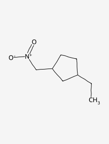 CCC1CCC(C[N+](=O)[O-])C1